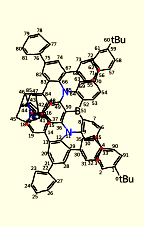 CC(C)(C)c1ccc(-c2ccc3c(c2)N(c2c(-c4ccccc4)cc(-c4ccccc4)cc2-c2ccccc2)c2cc(N4C5CC6CC(C5)C4C6)cc4c2B3c2ccc(-c3ccc(C(C)(C)C)cc3)cc2N4c2c(-c3ccccc3)cc(-c3ccccc3)cc2-c2ccccc2)cc1